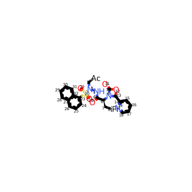 CC(=O)CN(NC(=O)[C@H](CC(C)C)N1C(=O)OC1c1ccccn1)S(=O)(=O)c1cccc2ccccc12